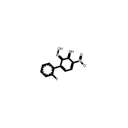 N=C1C([N+](=O)[O-])=CC=C(c2ccccc2F)/C1=N/O